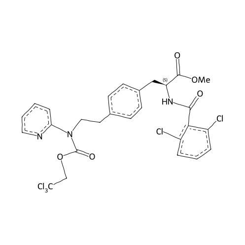 COC(=O)[C@H](Cc1ccc(CCN(C(=O)OCC(Cl)(Cl)Cl)c2ccccn2)cc1)NC(=O)c1c(Cl)cccc1Cl